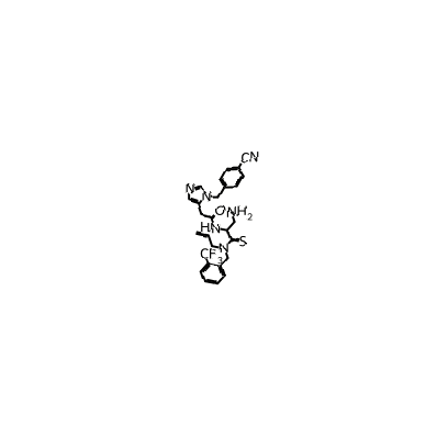 C=CCN(Cc1ccccc1C(F)(F)F)C(=S)C(CN)NC(=O)Cc1cncn1Cc1ccc(C#N)cc1